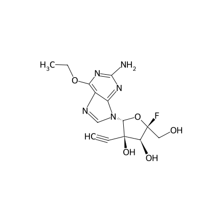 C#C[C@]1(O)[C@H](n2cnc3c(OCC)nc(N)nc32)O[C@](F)(CO)[C@H]1O